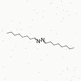 CCCCCCCC=NN=CCCCCCCC